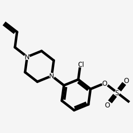 C=CCN1CCN(c2cccc(OS(C)(=O)=O)c2Cl)CC1